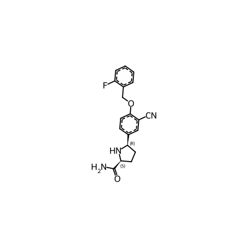 N#Cc1cc([C@H]2CC[C@@H](C(N)=O)N2)ccc1OCc1ccccc1F